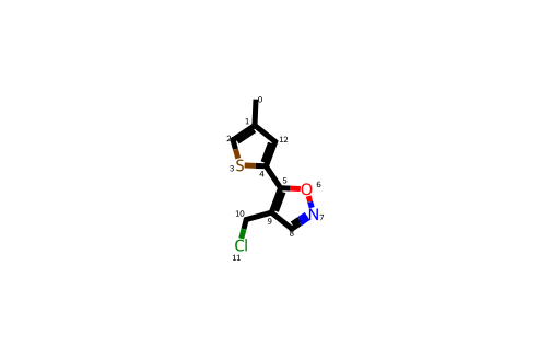 Cc1csc(-c2oncc2CCl)c1